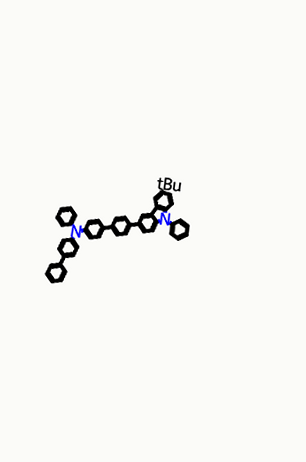 CC(C)(C)c1ccc2c(c1)c1cc(-c3ccc(-c4ccc(N(c5ccccc5)c5ccc(-c6ccccc6)cc5)cc4)cc3)ccc1n2-c1ccccc1